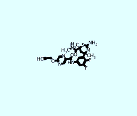 C#CCOc1cnc(C(=O)Nc2cc(F)c(F)c([C@]3(C)C[C@](C)(C(=O)NC)SC(N)=N3)c2)cn1